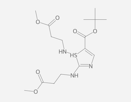 COC(=O)CCNC1=NC=C(C(=O)OC(C)(C)C)[SH]1NCCC(=O)OC